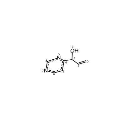 C=CC(O)c1ccncn1